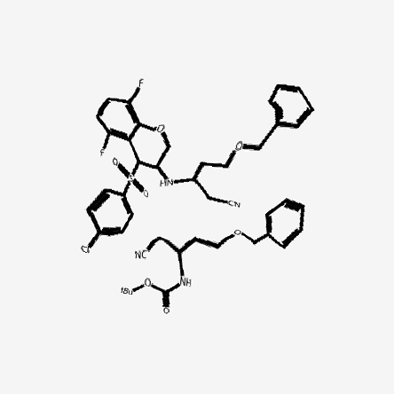 CC(C)(C)OC(=O)NC(CC#N)CCOCc1ccccc1.N#CCC(CCOCc1ccccc1)NC1COc2c(F)ccc(F)c2C1S(=O)(=O)c1ccc(Cl)cc1